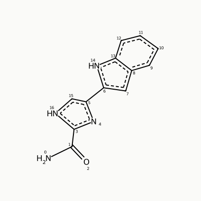 NC(=O)c1nc(-c2cc3ccccc3[nH]2)c[nH]1